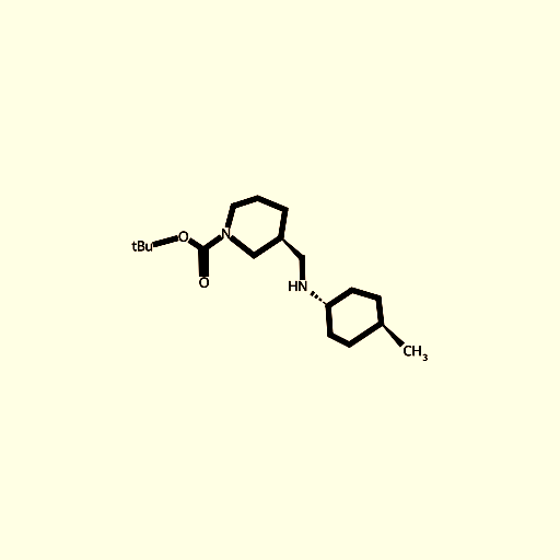 CC(C)(C)OC(=O)N1CCC[C@@H](CN[C@H]2CC[C@H](C)CC2)C1